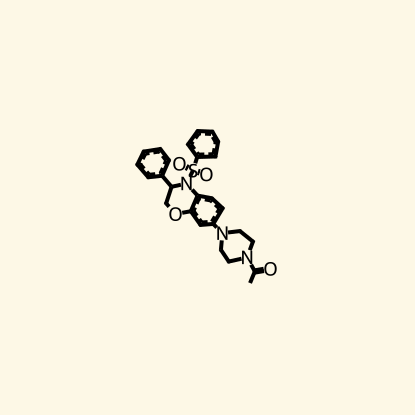 CC(=O)N1CCN(c2ccc3c(c2)OCC(c2ccccc2)N3S(=O)(=O)c2ccccc2)CC1